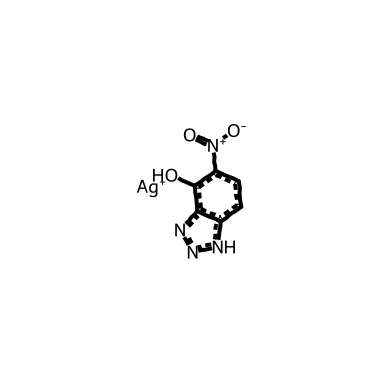 O=[N+]([O-])c1ccc2[nH]nnc2c1O.[Ag+]